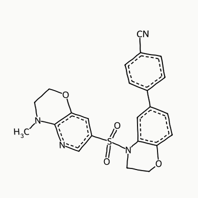 CN1CCOc2cc(S(=O)(=O)N3CCOc4ccc(-c5ccc(C#N)cc5)cc43)cnc21